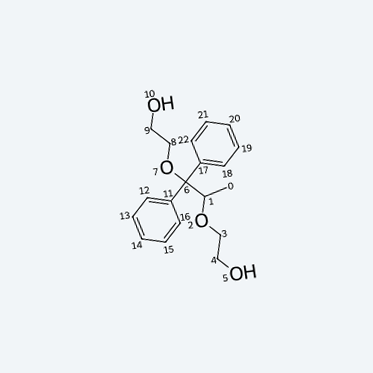 CC(OCCO)C(OCCO)(c1ccccc1)c1ccccc1